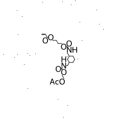 C=CC(=O)OCCCCOC(=O)NCC1CCCC(CNC(=O)OCCOC(C)=O)C1